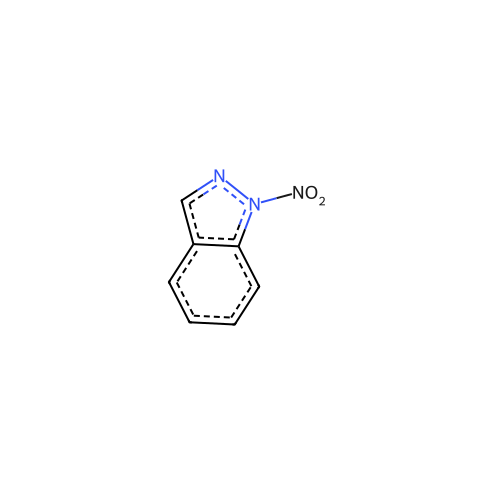 O=[N+]([O-])n1ncc2ccccc21